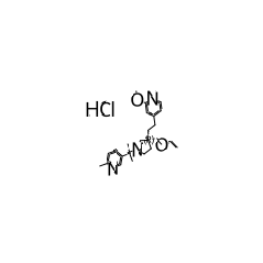 CCOC[C@]1(CCc2ccnc(OC)c2)CCN(C(C)(C)c2ccc(C)nc2)C1.Cl